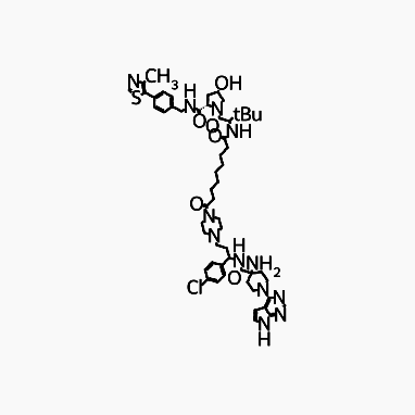 Cc1ncsc1-c1ccc(CNC(=O)[C@@H]2C[C@@H](O)CN2C(=O)C(NC(=O)CCCCCCCC(=O)N2CCN(CCC(NC(=O)C3(N)CCN(c4ncnc5[nH]ccc45)CC3)c3ccc(Cl)cc3)CC2)C(C)(C)C)cc1